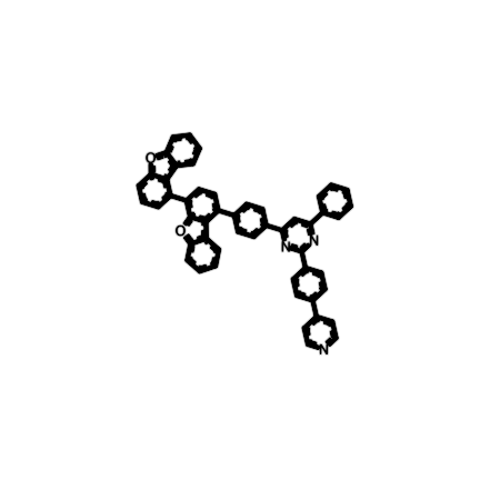 c1ccc(-c2cc(-c3ccc(-c4ccc(-c5cccc6oc7ccccc7c56)c5oc6ccccc6c45)cc3)nc(-c3ccc(-c4ccncc4)cc3)n2)cc1